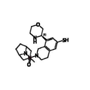 CN1CC2CCC(C1)N2C(=O)N1CCc2cc(S)cc([C@@H]3COCCN3)c2C1